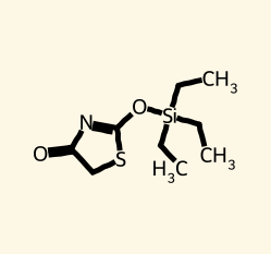 CC[Si](CC)(CC)OC1=NC(=O)CS1